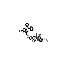 Nc1ccccc1CS(=O)(=O)NCCc1cc(OCCc2cn(C(c3ccccc3)c3ccccc3)c3ccc(Cl)cc23)ccc1C(=O)O